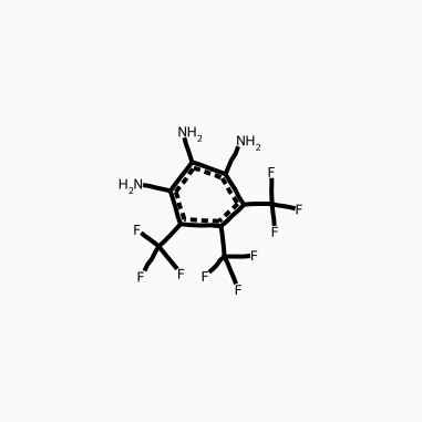 Nc1c(N)c(C(F)(F)F)c(C(F)(F)F)c(C(F)(F)F)c1N